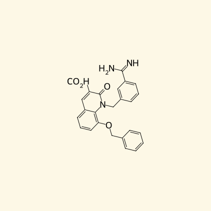 N=C(N)c1cccc(Cn2c(=O)c(C(=O)O)cc3cccc(OCc4ccccc4)c32)c1